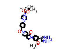 COc1cc(N2CCC3(CCN(C(=O)c4ccc(N5CCN(C(=O)OC(C)(C)C)CC5)cc4)CC3)C2=O)ccc1/C(C=N)=C/N